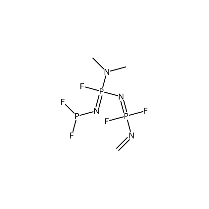 C=NP(F)(F)=NP(F)(=NP(F)F)N(C)C